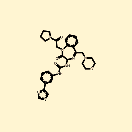 O=C(Nc1cccc(-c2cnco2)c1)NC1N=C(CN2CCOCC2)c2ccccc2N(CC(=O)N2CCCC2)C1=O